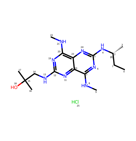 CC[C@@H](C)Nc1nc(NC)c2nc(NCC(C)(C)O)nc(NC)c2n1.Cl